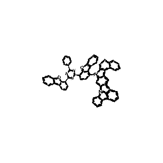 c1ccc(-c2nc(-c3cccc4c3oc3ccccc34)nc(-c3ccc(-n4c5cc6c(cc5c5c7ccccc7ccc54)c4cccc5c7ccccc7n6c54)c4c3oc3ccccc34)n2)cc1